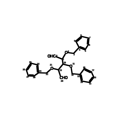 O=CC(OCc1ccccc1)C(OCc1ccccc1)C(C=O)OCc1ccccc1